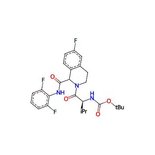 CC(C)[C@H](NC(=O)OC(C)(C)C)C(=O)N1CCc2cc(F)ccc2C1C(=O)Nc1c(F)cccc1F